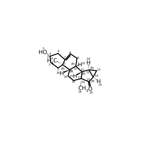 C[C@]12CC[C@H](O)CC1=CC[C@H]1[C@@H]3[C@H]4C[C@H]4C(=O)[C@@]3(C)CC[C@@H]12